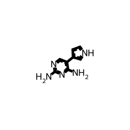 Nc1ncc(-c2cc[nH]c2)c(N)n1